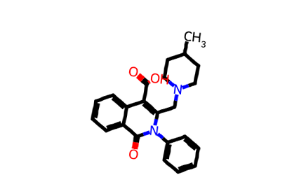 CC1CCN(Cc2c(C(=O)O)c3ccccc3c(=O)n2-c2ccccc2)CC1